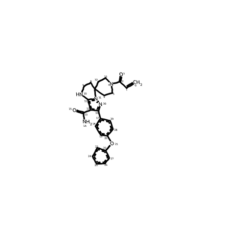 C=CC(=O)N1CCC2(CCNc3c(C(N)=O)c(-c4ccc(Oc5ccccc5)cc4)nn32)CC1